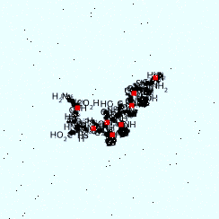 CC(C)C[C@@H](NC(=O)[C@@H](CCC(=O)O)NC(=O)[C@@H](CS)NC(=O)[C@@H](CC(C)C)NC(=O)[C@@H](Cc1c[nH]c2ccccc12)NC(=O)[C@@H](CCC(N)=O)NC(=O)[C@@H](Cc1c[nH]c2ccccc12)NC(=O)[C@@H](CCC(=O)O)NC(=O)[C@H]1CCCN1C(=O)[C@@H](Cc1ccc(O)cc1)NC(=O)[C@@H](CC(=O)O)NC(=O)[C@@H](CS)NC(=O)[C@H]1CCCN1C(=O)[C@H](N)Cc1cnc[nH]1)C(=O)NCC(=O)N[C@H](CCCCN)C(=O)O